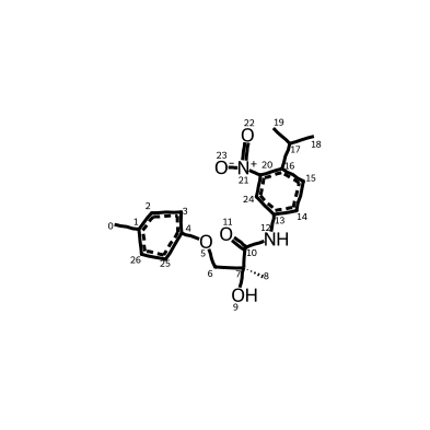 Cc1ccc(OC[C@](C)(O)C(=O)Nc2ccc(C(C)C)c([N+](=O)[O-])c2)cc1